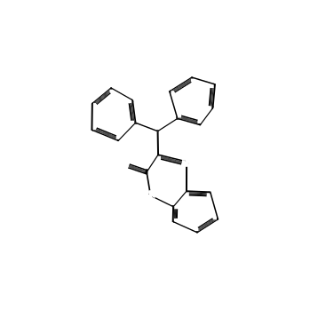 O=c1[nH]c2ccccc2nc1C(c1ccccc1)c1ccccc1